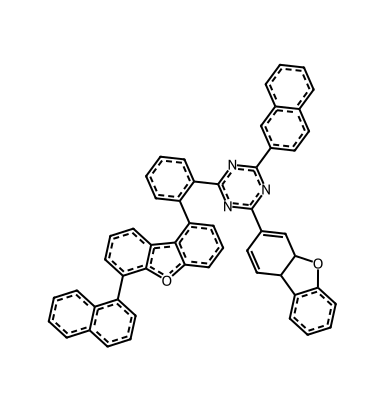 C1=CC2c3ccccc3OC2C=C1c1nc(-c2ccc3ccccc3c2)nc(-c2ccccc2-c2cccc3oc4c(-c5cccc6ccccc56)cccc4c23)n1